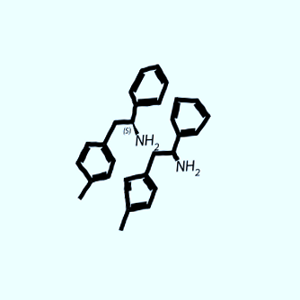 Cc1ccc(CC(N)c2ccccc2)cc1.Cc1ccc(C[C@H](N)c2ccccc2)cc1